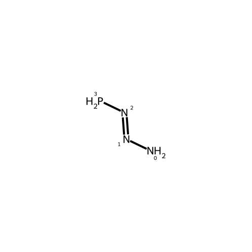 NN=NP